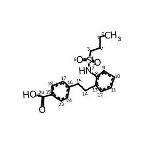 CCCCS(=O)(=O)Nc1ccccc1CCc1ccc(C(=O)O)cc1